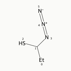 CCC(S)N=[N+]=[N-]